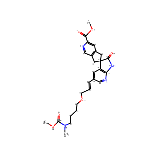 CC(C)OC(=O)c1cc2c(cn1)C[C@@]1(C2)C(=O)Nc2ncc(/C=C/COCCCCN(C)C(=O)OC(C)(C)C)cc21